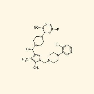 Cc1c(CN2CCN(c3ccccc3Cl)CC2)cc(C(=O)N2CCN(c3cc(F)ccc3C#N)CC2)n1C